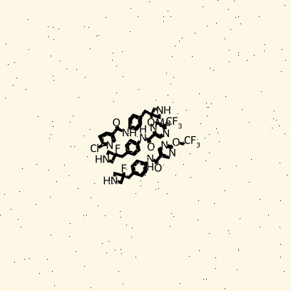 COC1(Cc2ccc(NC(=O)c3ccc(Cl)nc3)cc2)CNC1.O=C(Nc1ccc(CC2(F)CNC2)cc1)c1cnc(C(F)(F)F)cn1.O=C(Nc1ccc(CC2(F)CNC2)cc1)c1cnc(OCC(F)(F)F)nc1